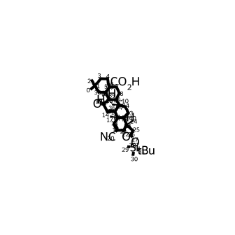 CC1(C)CC[C@]2(C(=O)O)CC[C@]3(C)[C@H](C(=O)C=C4[C@@]5(C)C=C(C#N)C(=O)[C@@](C)(CCO[Si](C)(C)C(C)(C)C)[C@@H]5CC[C@]43C)[C@@H]2C1